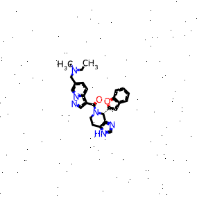 CCN(C)Cc1ccc2c(C(=O)N3CCc4[nH]cnc4[C@H]3c3cc4ccccc4o3)cnn2c1